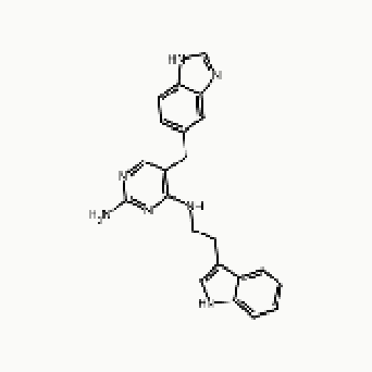 Nc1ncc(Cc2ccc3[nH]cnc3c2)c(NCCc2c[nH]c3ccccc23)n1